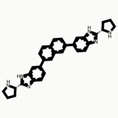 c1cc2ccc(-c3ccc4nc([C@@H]5CCCN5)[nH]c4c3)cc2cc1-c1ccc2nc([C@@H]3CCCN3)[nH]c2c1